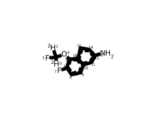 [2H]C([2H])(F)Oc1c(F)ccc2cc(N)ccc12